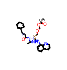 CCCC(=O)OCOCS/C(=N/c1cccc2cccnc12)NC(C)NC(=O)/C=C/c1ccccc1